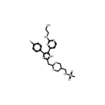 CS(=O)(=O)NCC1COC(Cc2nc(-c3ccc(F)cc3)c(-c3ccnc(NCCO)n3)[nH]2)OC1